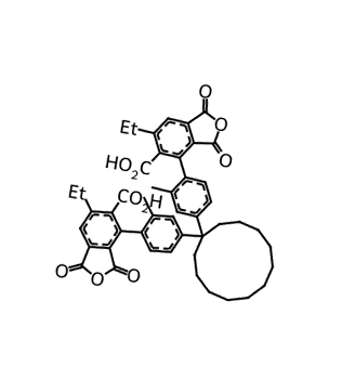 CCc1cc2c(c(-c3ccc(C4(c5ccc(-c6c(C(=O)O)c(CC)cc7c6C(=O)OC7=O)c(C)c5)CCCCCCCCCCC4)cc3C)c1C(=O)O)C(=O)OC2=O